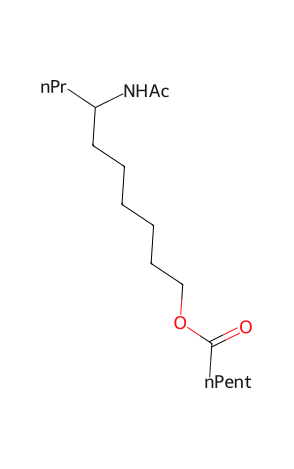 CCCCCC(=O)OCCCCCCC(CCC)NC(C)=O